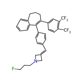 FCCCN1CC(=Cc2ccc(C3=C(c4ccc(C(F)(F)F)c(C(F)(F)F)c4)CCCc4ccccc43)cc2)C1